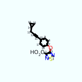 O=C(O)c1nsnc1Oc1ccc(C#CCC2CC2)cc1